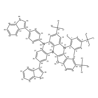 Cc1cc(C(C)(C)C)cc(C)c1N1c2cc(C(C)(C)C)cc3c2B(c2cc(-c4csc5ccccc45)ccc2N3c2ccc(-c3csc4ccccc34)cc2)c2oc3ccc(C(C)(C)C)cc3c21